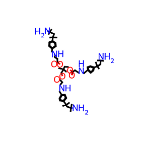 CCC(COC(=O)CCNCc1ccc(C(C)(C)CC(C)(C)N)cc1)(COC(=O)CCNCc1ccc(C(C)(C)CC(C)(C)N)cc1)COC(=O)CCNCc1ccc(C(C)(C)CC(C)(C)N)cc1